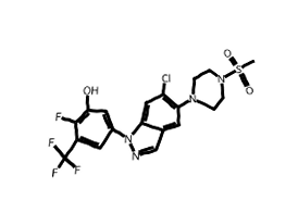 CS(=O)(=O)N1CCN(c2cc3cnn(-c4cc(O)c(F)c(C(F)(F)F)c4)c3cc2Cl)CC1